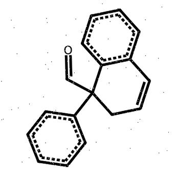 O=CC1(c2ccccc2)CC=Cc2ccccc21